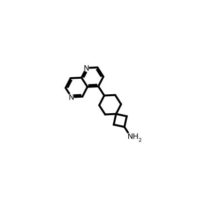 NC1CC2(CCC(c3ccnc4ccncc34)CC2)C1